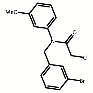 COc1cccc(N(Cc2cccc(Br)c2)C(=O)CCl)c1